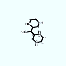 CCCCC(C1CNCCN1)C1CNCCN1